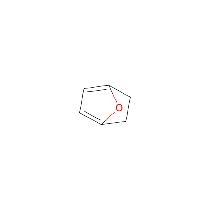 c1cc2oc1CC2